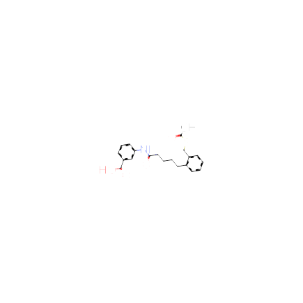 CC(=O)SCc1ccccc1CCCCC(=O)Nc1cccc(C(=O)O)c1